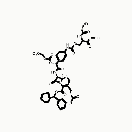 CC(C)(C)OC(=O)NC(COC(=O)Nc1ccc([C@@H](OC(=O)OCC(Cl)(Cl)Cl)C(=O)N[C@@H]2C(=O)N3C(C(=O)OC(c4ccccc4)c4ccccc4)=C(COC(N)=O)CS[C@H]23)cc1)C(=O)OC(C)(C)C